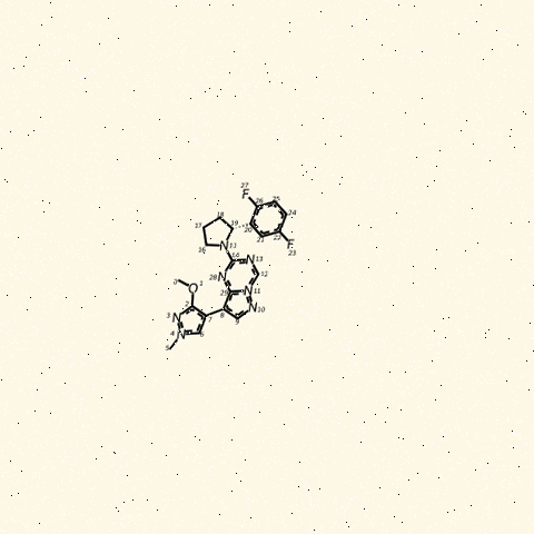 COc1nn(C)cc1-c1cnn2cnc(N3CCC[C@@H]3c3cc(F)ccc3F)nc12